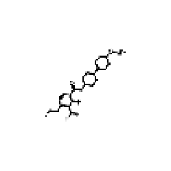 CCCOC1CCC(C2CCC(CC(=O)c3ccc(CCF)c(C(F)F)c3F)CC2)CC1